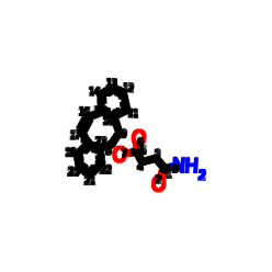 NC(=O)CCC(=O)OC1Cc2ccccc2C#Cc2ccccc21